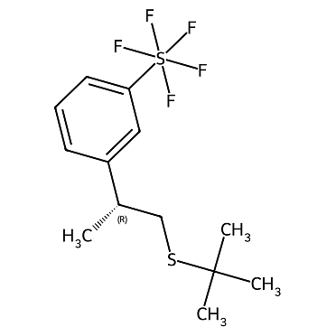 C[C@@H](CSC(C)(C)C)c1cccc(S(F)(F)(F)(F)F)c1